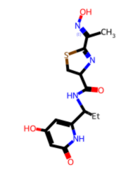 CCC(NC(=O)C1CSC(/C(C)=N/O)=N1)c1cc(O)cc(=O)[nH]1